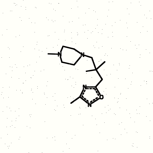 Cc1noc(CC(C)(C)CN2CCN(C)CC2)n1